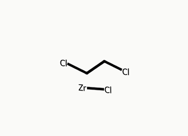 ClCCCl.[Cl][Zr]